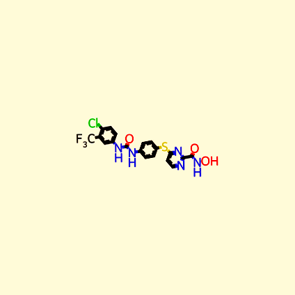 O=C(Nc1ccc(Sc2ccnc(C(=O)NO)n2)cc1)Nc1ccc(Cl)c(C(F)(F)F)c1